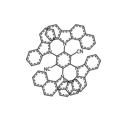 N#Cc1c(-n2c3ccccc3c3ccccc32)c(-n2c3ccccc3c3ccc4ccccc4c32)c(C#N)c(-n2c3ccccc3c3ccc4ccccc4c32)c1-n1c2ccccc2c2ccc3ccccc3c21